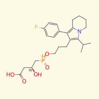 CC(C)c1c(CCCO[PH](=O)C[C@@H](O)CC(=O)O)c(-c2ccc(F)cc2)c2n1CCCC2